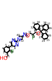 OCc1cccc(-c2cnc(N3CC(=NOCC(F)COC(c4ccccc4)(c4ccccc4)c4ccccc4)C3)nc2)c1F